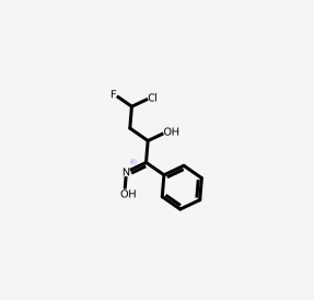 O/N=C(\c1ccccc1)C(O)CC(F)Cl